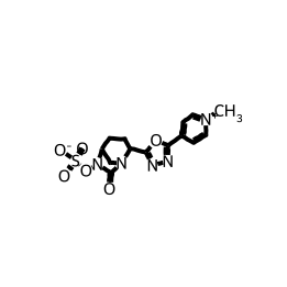 C[n+]1ccc(-c2nnc(C3CCC4CN3C(=O)N4OS(=O)(=O)[O-])o2)cc1